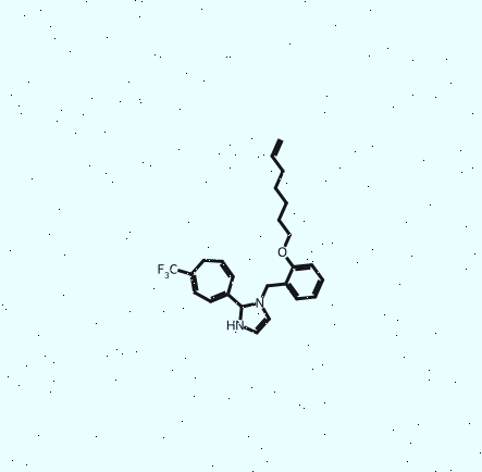 C=CCCCCCOc1ccccc1CN1C=CNC1C1=CC=C(C(F)(F)F)CC=C1